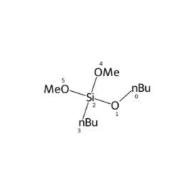 CCCCO[Si](CCCC)(OC)OC